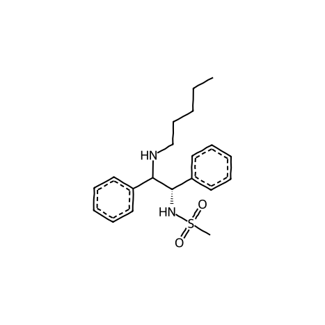 CCCCCNC(c1ccccc1)[C@@H](NS(C)(=O)=O)c1ccccc1